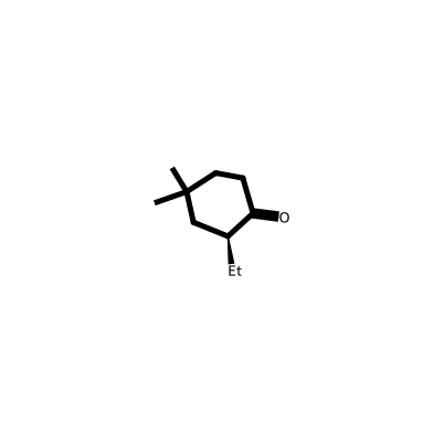 CC[C@H]1CC(C)(C)CCC1=O